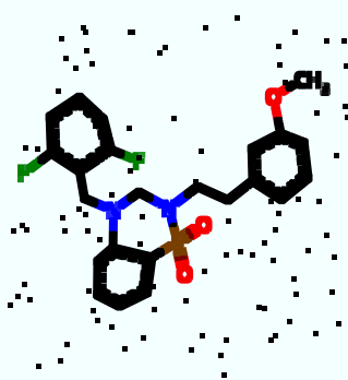 COc1cccc(CCN2CN(Cc3c(F)cccc3F)c3ccccc3S2(=O)=O)c1